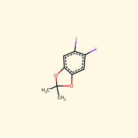 CC1(C)Oc2cc(I)c(I)cc2O1